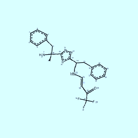 C[C@@](N)(Cc1ccccc1)c1nnc(C(Cc2ccccc2)N/C=C/C(=O)C(F)(F)F)o1